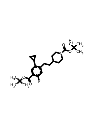 CC(C)(C)OC(=O)c1cc(C2CC2)c(CCC2CCN(C(=O)OC(C)(C)C)CC2)cc1F